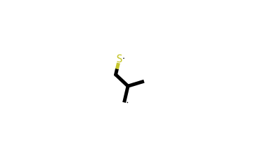 [CH2]C(C)C[S]